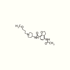 COCCCN1CCC(NC(=O)c2ccc(NC(C)=O)c3c2OCC3)CC1